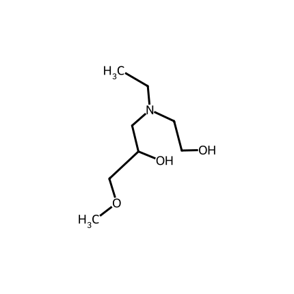 CCN(CCO)CC(O)COC